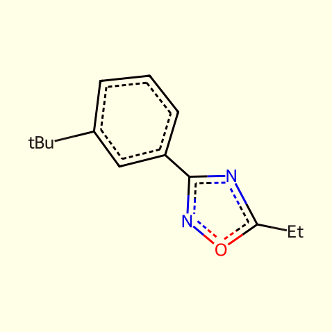 CCc1nc(-c2cccc(C(C)(C)C)c2)no1